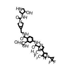 Cn1c(-c2cn(C3CC3(F)F)nc2C(F)(F)F)cnc1C(=O)Nc1ccc(C(=O)NCC2C3CN(C(=O)N[C@H]4CNC[C@@H]4O)CC23)c(Cl)c1.O=CO